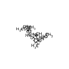 CCc1ccc(C(=O)N(C[C@@H]2CNC[C@H]2CN(C)C(=O)C(O)CC(C)C)C(C)C)cc1OCCCOC